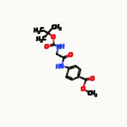 COC(=O)c1ccc(NC(=O)CNC(=O)OC(C)(C)C)cc1